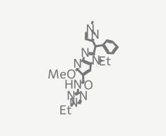 CCn1cnc(NC(=O)c2cc3c(nc2OC)nc(C(c2ccccc2)c2ccn(C)n2)n3CC)n1